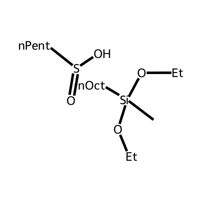 CCCCCCCC[Si](C)(OCC)OCC.CCCCCS(=O)O